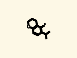 CC(C)c1ccc2c(c1F)CCCO2